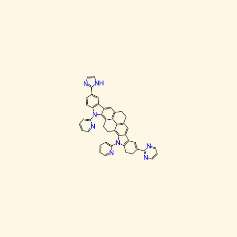 C1=C(c2ncccn2)CCc2c1c1cc3c4c(c1n2-c1ccccn1)CCc1c-4c(cc2c4cc(-c5ncc[nH]5)ccc4n(-c4ccccn4)c12)CC3